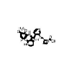 COc1c(Cl)cc(F)cc1Nc1c(-c2ccncc2OC[C@H]2CCN2C(=O)O)[nH]c2c1C(=O)NCC2